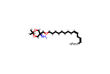 CCCCC/C=C\C/C=C\CCCCCCCCOCC1(N)COC(C)(C)OC1